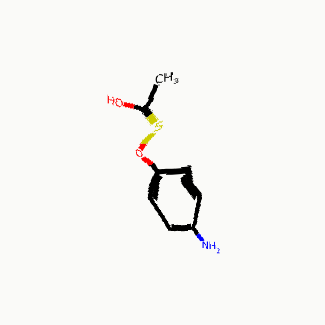 CC(O)SOc1ccc(N)cc1